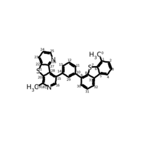 Cc1cccc2c1sc1c(-c3cccc(-c4cnc(C)c5sc6cccnc6c45)c3)cccc12